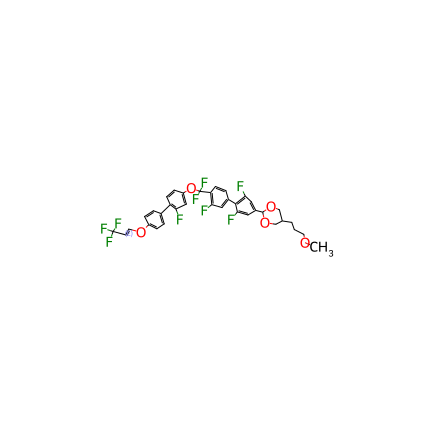 COCCCC1COC(c2cc(F)c(-c3ccc(C(F)(F)Oc4ccc(-c5ccc(O/C=C/C(F)(F)F)cc5)c(F)c4)c(F)c3)c(F)c2)OC1